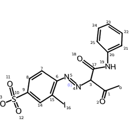 CC(=O)C(/N=N/c1ccc(S(=O)(=O)O)cc1I)C(=O)Nc1ccccc1